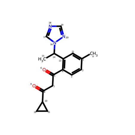 Cc1ccc(C(=O)CC(=O)C2CC2)c(C(C)n2cncn2)c1